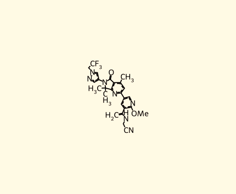 C=C(NCC#N)c1cc(-c2cc(C)c3c(n2)C(C)(C)N(c2cnn(CC(F)(F)F)c2)C3=O)cnc1OC